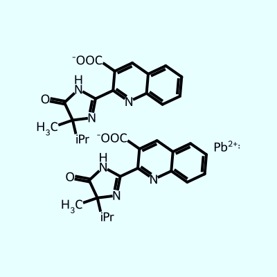 CC(C)C1(C)N=C(c2nc3ccccc3cc2C(=O)[O-])NC1=O.CC(C)C1(C)N=C(c2nc3ccccc3cc2C(=O)[O-])NC1=O.[Pb+2]